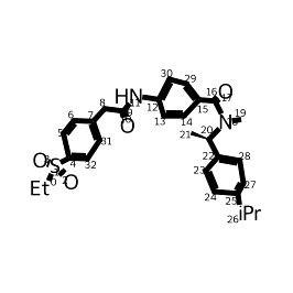 CCS(=O)(=O)c1ccc(CC(=O)Nc2ccc(C(=O)N(C)[C@H](C)c3ccc(C(C)C)cc3)cc2)cc1